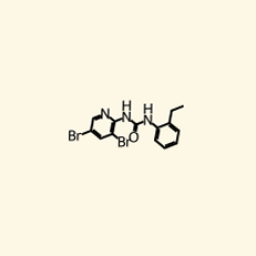 CCc1ccccc1NC(=O)Nc1ncc(Br)cc1Br